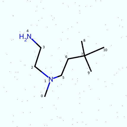 CN(CCN)CCC(C)(C)C